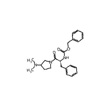 CN(C)C1CCN(C(=O)[C@H](Cc2ccccc2)NC(=O)OCc2ccccc2)C1